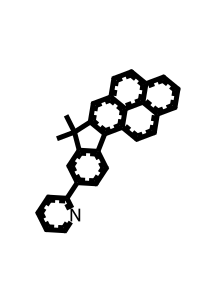 CC1(C)c2cc(-c3ccccn3)ccc2-c2c1cc1ccc3cccc4ccc2c1c34